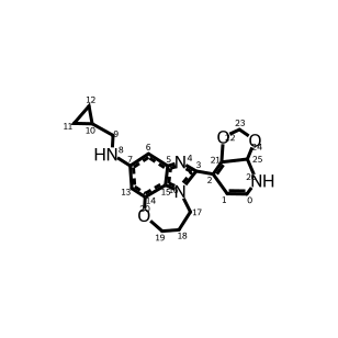 C1=CC(c2nc3cc(NCC4CC4)cc4c3n2CCCO4)=C2OCOC2N1